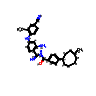 Cc1cc(C#N)ccc1Nc1ccc(C(=N)NC(=O)c2ccc(C3CCCCC(C)CC3)cc2)c(N)c1